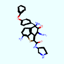 Nc1ccc2c3c(c(C(=O)NC4CCNC4)sc13)C(N)C(=O)C2(N)c1ccc(Oc2ccccc2)cc1